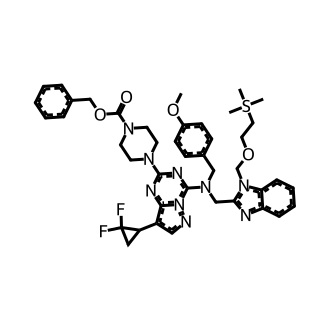 COc1ccc(CN(Cc2nc3ccccc3n2COCCS(C)(C)C)c2nc(N3CCN(C(=O)OCc4ccccc4)CC3)nc3c(C4CC4(F)F)cnn23)cc1